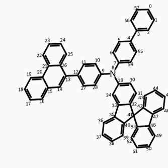 c1ccc(-c2ccc(N(c3ccc(-c4cc5ccccc5c5ccccc45)cc3)c3ccc4c(c3)-c3ccccc3C43c4ccccc4-c4ccccc43)cc2)cc1